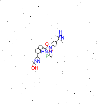 Cc1n[nH]c(C)c1-c1ccc(NC(=O)[C@@H](NC(=O)C2(F)CC2)[C@@H]2CCc3ccc(-c4cnn(C(C)(C)CO)c4)cc32)cc1